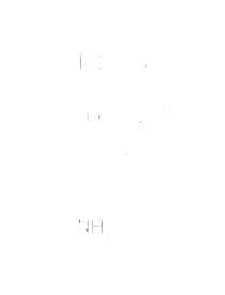 Cc1ccccc1Oc1c[c]c(N)cc1